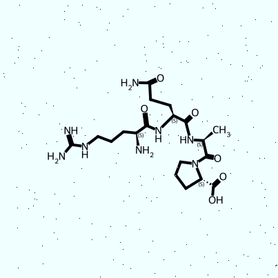 C[C@H](NC(=O)[C@H](CCC(N)=O)NC(=O)[C@@H](N)CCCNC(=N)N)C(=O)N1CCC[C@H]1C(=O)O